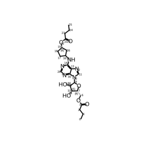 CCCC(=O)OC[C@H]1OC(n2cnc3c(NC4CC[C@@H](OC(=O)CCC)C4)ncnc32)[C@H](O)[C@@H]1O